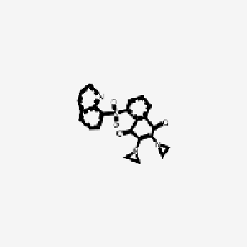 O=C1C(N2CC2)=C(N2CC2)C(=O)c2c1cccc2S(=O)(=O)c1cccc2cccnc12